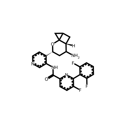 NC1C[C@H](c2ccncc2NC(=O)c2ccc(F)c(-c3c(F)cccc3F)n2)OC23CC2C[C@H]13